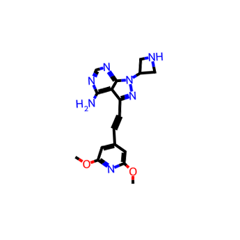 COc1cc(C#Cc2nn(C3CNC3)c3ncnc(N)c23)cc(OC)n1